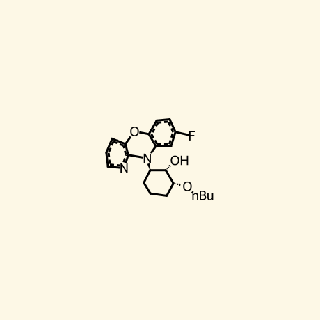 CCCCO[C@@H]1CCC[C@@H](N2c3cc(F)ccc3Oc3cccnc32)[C@@H]1O